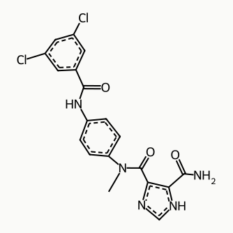 CN(C(=O)c1nc[nH]c1C(N)=O)c1ccc(NC(=O)c2cc(Cl)cc(Cl)c2)cc1